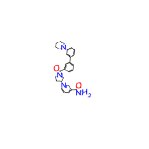 NC(=O)C1=CC=CN(C2CCN(C(=O)c3cccc(-c4cccc(N5CCCCC5)c4)c3)C2)C1